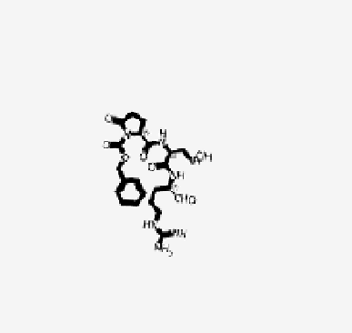 CC(C)C[C@H](NC(=O)[C@@H]1CCC(=O)N1C(=O)OCc1ccccc1)C(=O)N[C@H](C=O)CCCNC(=N)N.Cl